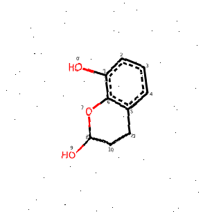 Oc1cccc2c1OC(O)CC2